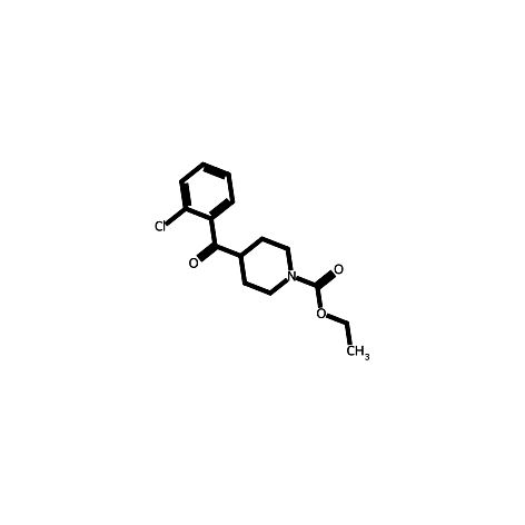 CCOC(=O)N1CCC(C(=O)c2ccccc2Cl)CC1